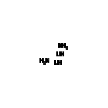 N.N.[LiH].[LiH]